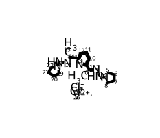 CC(=NNN1CCCC1)c1cccc(C(C)=NNN2CCCC2)n1.[Cl-].[Cl-].[V+2]